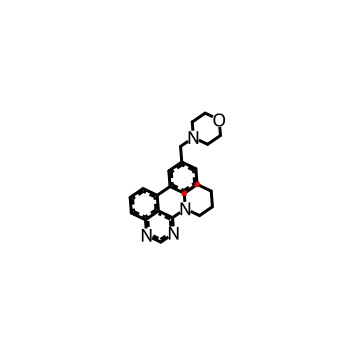 c1cc(CN2CCOCC2)cc(-c2cccc3ncnc(N4CCCCC4)c23)c1